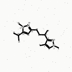 Cc1cn(C)nc1C(C)CCc1cc(C(C)C)n(C)n1